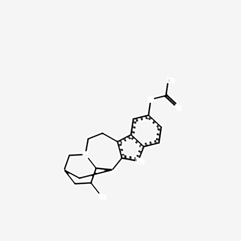 CCC1CC2CC3c4[nH]c5ccc(OC(=O)C(C)C)cc5c4CCN(C2)C13